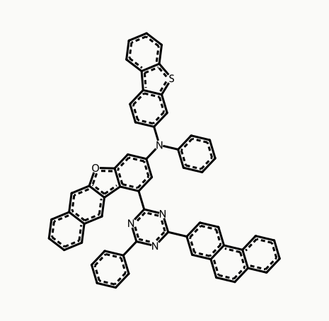 c1ccc(-c2nc(-c3ccc4c(ccc5ccccc54)c3)nc(-c3cc(N(c4ccccc4)c4ccc5c(c4)sc4ccccc45)cc4oc5cc6ccccc6cc5c34)n2)cc1